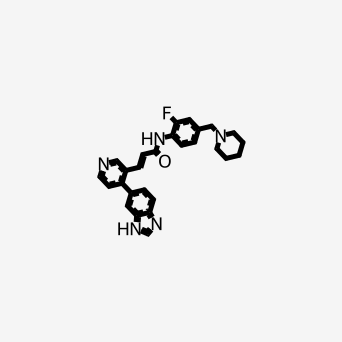 O=C(/C=C/c1cnccc1-c1ccc2nc[nH]c2c1)Nc1ccc(CN2CCCCC2)cc1F